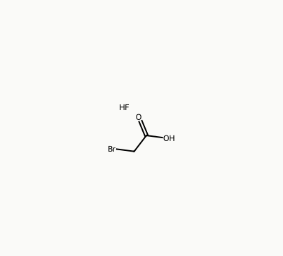 F.O=C(O)CBr